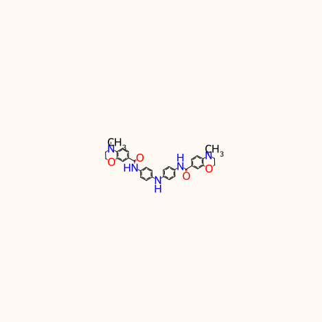 CN1CCOc2cc(C(=O)Nc3ccc(Nc4ccc(NC(=O)c5ccc6c(c5)OCCN6C)cc4)cc3)ccc21